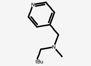 CN(Cc1ccncc1)CC(C)(C)C